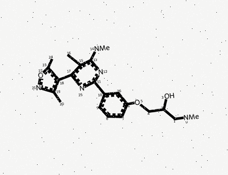 CNCC(O)COc1cccc(-c2nc(NC)c(C)c(-c3c(C)noc3C)n2)c1